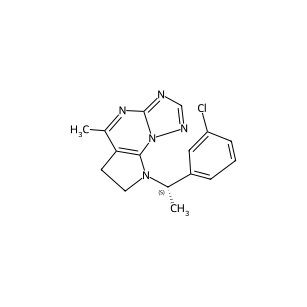 Cc1nc2ncnn2c2c1CCN2[C@@H](C)c1cccc(Cl)c1